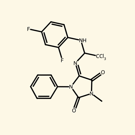 CN1C(=O)C(=NC(Nc2ccc(F)cc2F)C(Cl)(Cl)Cl)N(c2ccccc2)C1=O